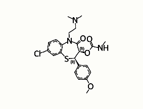 CNC(=O)O[C@@H]1C(=O)N(CCN(C)C)c2ccc(Cl)cc2S[C@@H]1c1ccc(OC)cc1